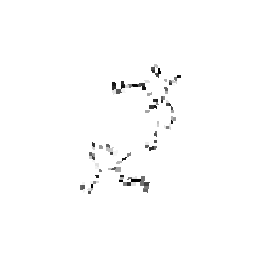 Cc1cccc(Oc2ccc3c(c2)C(=O)OC3=O)c1C